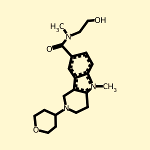 CN(CCO)C(=O)c1ccc2c(c1)c1c(n2C)CCN(C2CCOCC2)C1